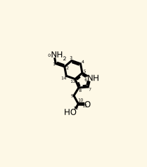 NC=C1C=Cc2[nH]cc(CC(=O)O)c2C1